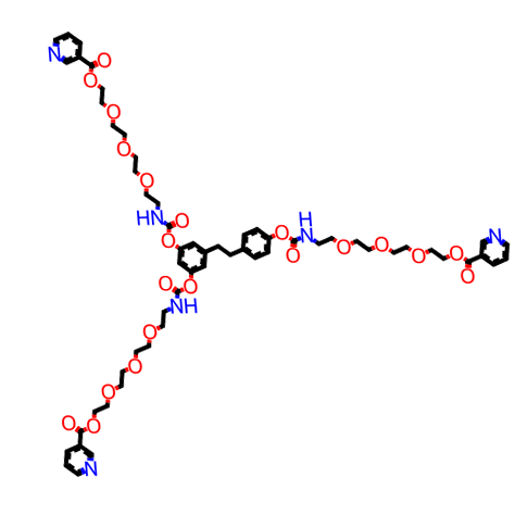 O=C(NCCOCCOCCOCCOC(=O)c1cccnc1)Oc1ccc(CCc2cc(OC(=O)NCCOCCOCCOCCOC(=O)c3cccnc3)cc(OC(=O)NCCOCCOCCOCCOC(=O)c3cccnc3)c2)cc1